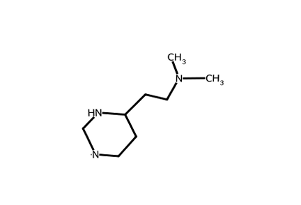 CN(C)CCC1CC[N]CN1